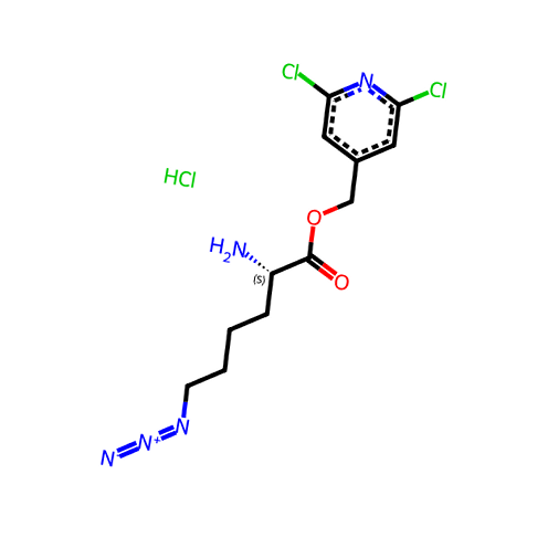 Cl.[N-]=[N+]=NCCCC[C@H](N)C(=O)OCc1cc(Cl)nc(Cl)c1